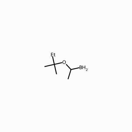 BC(C)OC(C)(C)CC